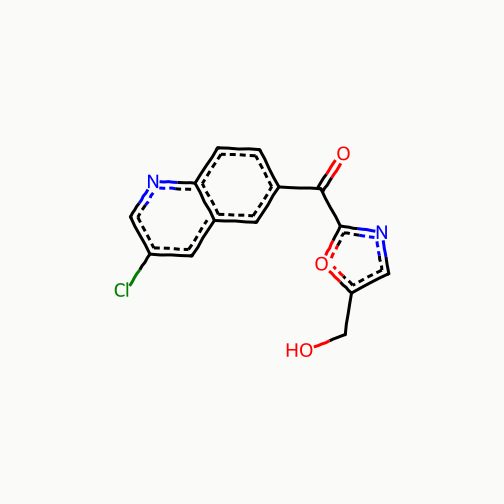 O=C(c1ccc2ncc(Cl)cc2c1)c1ncc(CO)o1